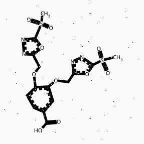 CS(=O)(=O)c1nnc(COc2ccc(C(=O)O)cc2OCc2nnc(S(C)(=O)=O)o2)o1